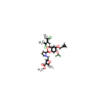 C=C(Cl)/C(C[C@H](OC(=O)C1CCCN1Cc1cc(C(=O)OC)c(C)o1)c1ccc(OC(F)F)c(OCC2CC2)c1)=C(\C)Cl